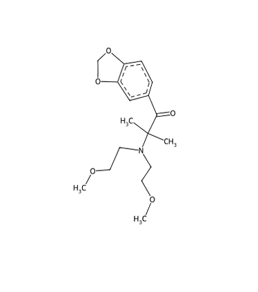 COCCN(CCOC)C(C)(C)C(=O)c1ccc2c(c1)OCO2